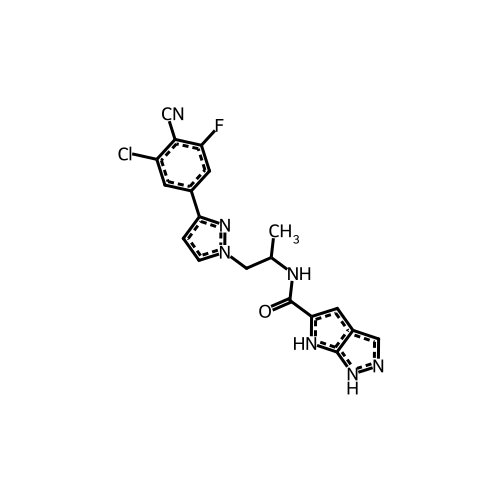 CC(Cn1ccc(-c2cc(F)c(C#N)c(Cl)c2)n1)NC(=O)c1cc2cn[nH]c2[nH]1